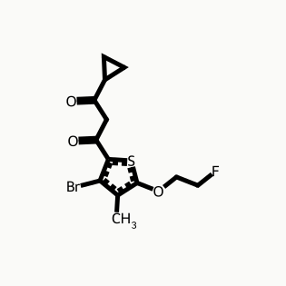 Cc1c(OCCF)sc(C(=O)CC(=O)C2CC2)c1Br